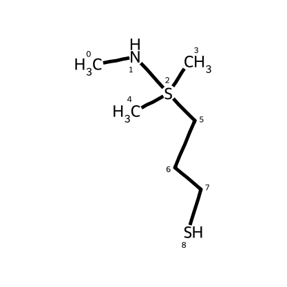 CNS(C)(C)CCCS